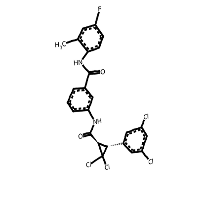 Cc1cc(F)ccc1NC(=O)c1cccc(NC(=O)[C@H]2[C@H](c3cc(Cl)cc(Cl)c3)C2(Cl)Cl)c1